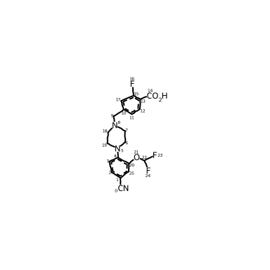 N#Cc1ccc(N2CCN(Cc3ccc(C(=O)O)c(F)c3)CC2)c(OC(F)F)c1